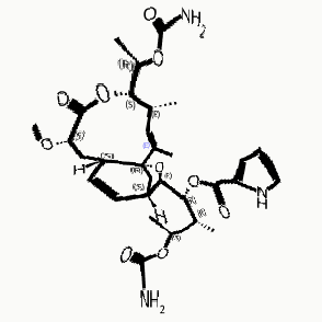 CO[C@H]1C[C@H]2C=C[C@@H]3C[C@]2(O[C@H]3[C@H](OC(=O)c2ccc[nH]2)[C@H](C)[C@H](C)OC(N)=O)/C(C)=C/[C@@H](C)[C@@H]([C@@H](C)OC(N)=O)OC1=O